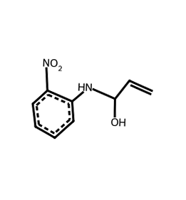 C=CC(O)Nc1ccccc1[N+](=O)[O-]